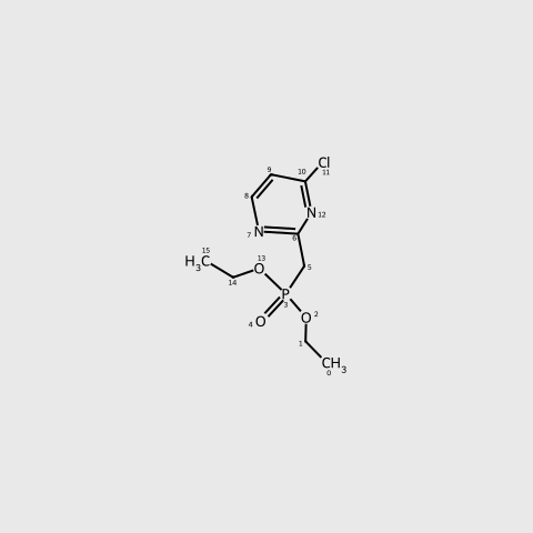 CCOP(=O)(Cc1nccc(Cl)n1)OCC